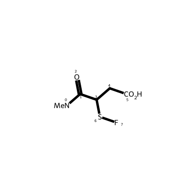 CNC(=O)C(CC(=O)O)SF